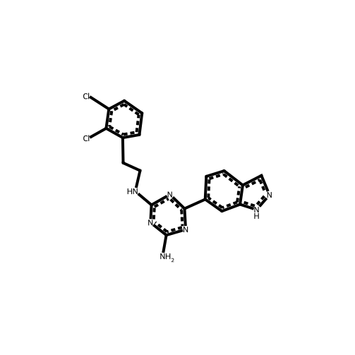 Nc1nc(NCCc2cccc(Cl)c2Cl)nc(-c2ccc3cn[nH]c3c2)n1